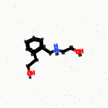 OC[CH]c1ccccc1CNCCO